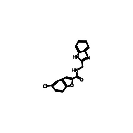 O=C(NCc1nc2ccccc2[nH]1)c1cc2cc(Cl)ccc2o1